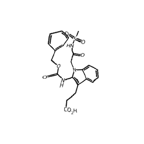 CS(=O)(=O)NC(=O)Cn1c(NC(=O)OCc2ccccc2)c(CCC(=O)O)c2ccccc21